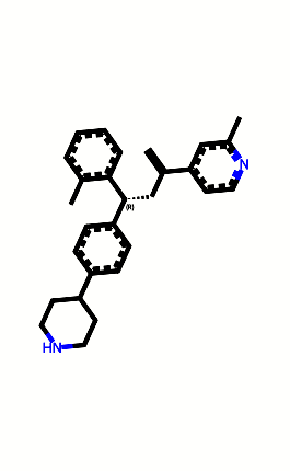 C=C(C[C@H](c1ccc(C2CCNCC2)cc1)c1ccccc1C)c1ccnc(C)c1